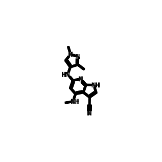 CNc1cc(Nc2cn(C)nc2C)nc2[nH]cc(C#N)c12